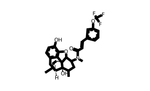 CC1CC(N(C)C(=O)/C=C/c2cccc(OC(F)(F)F)c2)C2Oc3c(O)ccc4c3[C@@]23CCN(C)[C@H](C4)[C@]13O